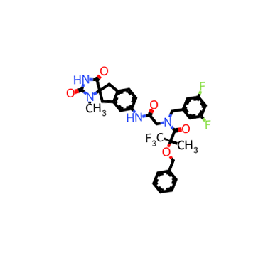 CN1C(=O)NC(=O)C12Cc1ccc(NC(=O)CN(Cc3cc(F)cc(F)c3)C(=O)[C@](C)(OCc3ccccc3)C(F)(F)F)cc1C2